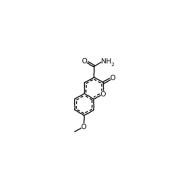 COc1ccc2cc(C(N)=O)c(=O)oc2c1